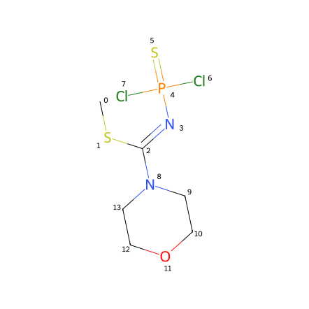 CSC(=NP(=S)(Cl)Cl)N1CCOCC1